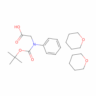 C1CCOCC1.C1CCOCC1.CC(C)(C)OC(=O)N(CC(=O)O)c1ccccc1